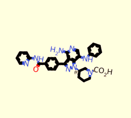 Nc1ncc(Nc2ccccc2)c2c1c(-c1ccc(C(=O)Nc3ccccn3)cc1)nn2[C@@H]1CCCN(C(=O)O)C1